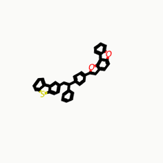 c1ccc(C(Cc2ccc3sc4ccccc4c3c2)c2ccc(C3Cc4ccc5oc6ccccc6c5c4O3)cc2)cc1